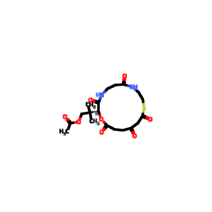 CC(=O)OCC(C)(C)[C@H]1OC(=O)CCC(=O)CC(=O)SCCNC(=O)CCNC1=O